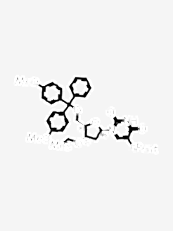 CCCCCc1cn([C@H]2C[C@H](OCSC)[C@@H](COC(c3ccccc3)(c3ccc(OC)cc3)c3ccc(OC)cc3)O2)c(=O)[nH]c1=O